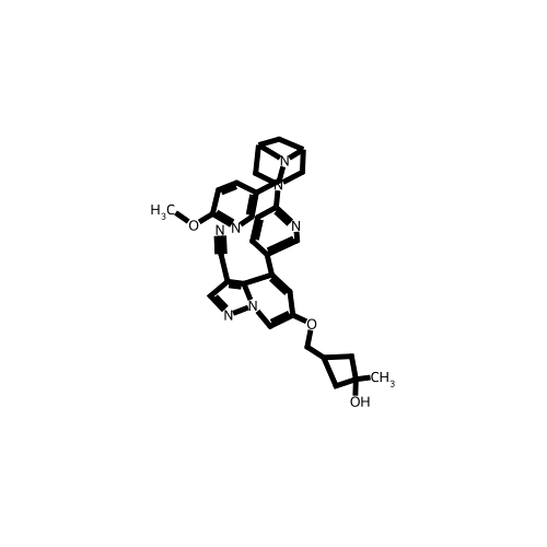 COc1ccc(CN2C3CC2CN(c2ccc(-c4cc(OCC5CC(C)(O)C5)cn5ncc(C#N)c45)cn2)C3)cn1